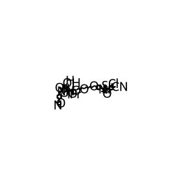 Cc1ncoc1-c1ccc(CNC(=O)[C@@H]2C[C@@H](O)CN2C(=O)[C@@H](NC(=O)COCCCOCCCCOc2ccc(N3C(=S)N(c4ccc(C#N)c(Cl)c4)C(=O)C3(C)C)cc2)C(C)C)cc1